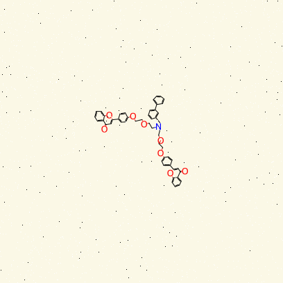 O=c1cc(-c2ccc(OCCOCCN(CCOCCOc3ccc(-c4cc(=O)c5ccccc5o4)cc3)Cc3cccc(-c4ccccc4)c3)cc2)oc2ccccc12